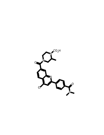 CC1CN(C(=O)c2ccc3c(Cl)cc(-c4ccc(C(=O)N(C)C)cc4)nc3c2)CCN1C(=O)O